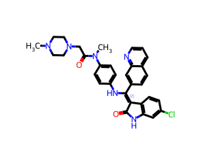 CN1CCN(CC(=O)N(C)c2ccc(N/C(=C3\C(=O)Nc4cc(Cl)ccc43)c3ccc4cccnc4c3)cc2)CC1